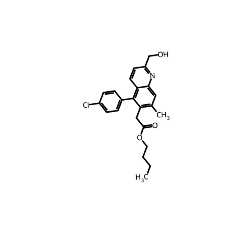 CCCCOC(=O)Cc1c(C)cc2nc(CO)ccc2c1-c1ccc(Cl)cc1